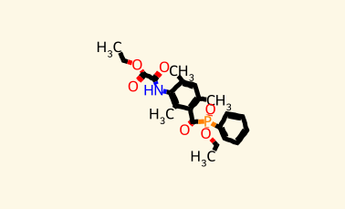 CCOC(=O)C(=O)Nc1c(C)cc(C)c(C(=O)P(=O)(OCC)c2ccccc2)c1C